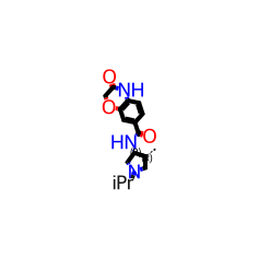 CC(C)N1C[C@@H](C)[C@@H](NC(=O)c2ccc3c(c2)OCC(=O)N3)C1